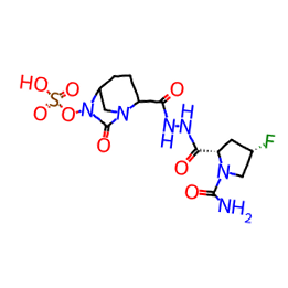 NC(=O)N1C[C@@H](F)C[C@H]1C(=O)NNC(=O)C1CCC2CN1C(=O)N2OS(=O)(=O)O